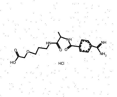 CC(NC(=O)c1ccc(C(=N)N)cc1)C(=O)NCCCOCC(=O)O.Cl